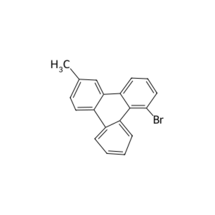 Cc1ccc2c3ccccc3c3c(Br)cccc3c2c1